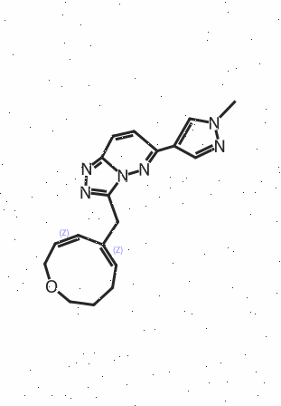 Cn1cc(-c2ccc3nnc(CC4=C/CCCOC/C=C\4)n3n2)cn1